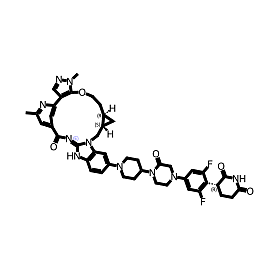 Cc1cc2cc(n1)-c1cnn(C)c1OCC[C@H]1C[C@@H]1CN1/C(=N/C2=O)Nc2ccc(N3CCC(N4CCN(c5cc(F)c([C@H]6CCC(=O)NC6=O)c(F)c5)CC4=O)CC3)cc21